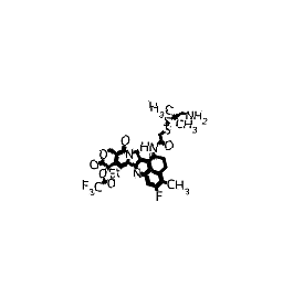 CC[C@@]1(OC(=O)C(F)(F)F)C(=O)OCc2c1cc1n(c2=O)Cc2c-1nc1cc(F)c(C)c3c1c2[C@@H](NC(=O)CSSC(C)(C)CN)CC3